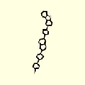 Fc1ccc(-c2ccc(-c3ccc4cc(-c5ccc(-c6ccc7oc8ccccc8c7c6)cc5)cnc4c3)cc2)cc1